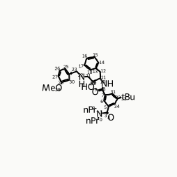 CCCN(CCC)C(=O)c1cc(C(=O)NC(Cc2ccccc2)[C@H](O)CNCc2cccc(OC)c2)cc(C(C)(C)C)c1